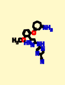 COc1cccc(O[C@H]2CCCC[C@@H](N)C2)c1-c1cc(Nc2cnc(C#N)cn2)n[nH]1